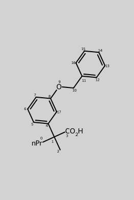 CCCC(C)(C(=O)O)c1cccc(OCc2ccccc2)c1